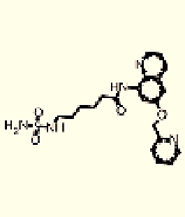 NS(=O)(=O)NCCCCCC(=O)Nc1cc(OCc2ccccn2)cc2cccnc12